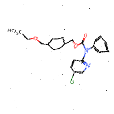 O=C(O)COCC1CCC(COC(=O)N(c2ccccc2)c2ccc(Cl)cn2)CC1